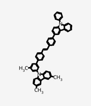 Cc1cc(-c2ccc(/C=C/c3ccc(-c4ccc5c(c4)c4ccccc4n5-c4ccccc4)cc3)cc2)cc(-n2c3ccc(C)cc3c3cc(C)ccc32)c1